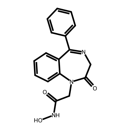 O=C(CN1C(=O)CN=C(c2ccccc2)c2ccccc21)NO